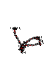 Nc1nc2c(c(OCc3ccc(COCCOCCOCCOCCNC(=O)CCOCC(COCCC(=O)CCCOCCOCCOCCOCc4ccc(COc5nc(N)nc6[nH]cnc56)cc4)(COCCC(=O)NCCOCCOCCOCCOCc4ccc(COc5nc(N)nc6[nH]cnc56)cc4)NC(=O)c4ccc5c(c4)C4(OC5=O)c5ccc(O)cc5Oc5cc(O)ccc54)cc3)n1)N=CC2